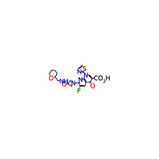 O=C(O)c1cn(-c2nccs2)c2nc(N3CC(ONCC4CCCCO4)C3)c(F)cc2c1=O